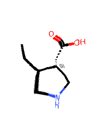 CCC1CNC[C@H]1C(=O)O